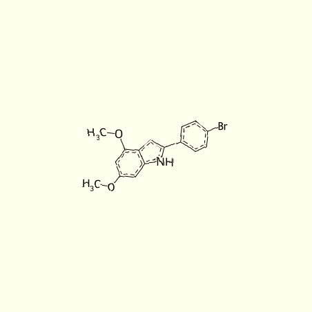 COc1cc(OC)c2cc(-c3ccc(Br)cc3)[nH]c2c1